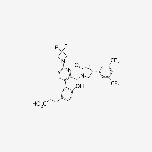 C[C@H]1[C@@H](c2cc(C(F)(F)F)cc(C(F)(F)F)c2)OC(=O)N1Cc1nc(N2CC(F)(F)C2)ccc1-c1cc(CCC(=O)O)ccc1O